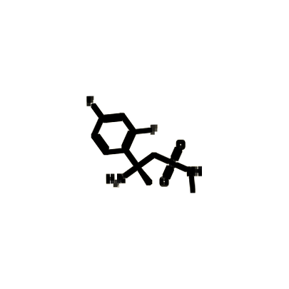 CNS(=O)(=O)C[C@](C)(N)c1ccc(F)cc1F